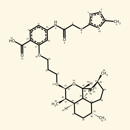 Cc1nnc(SCC(=O)Nc2ccc(C(=O)O)c(OCCCO[C@H]3O[C@@H]4O[C@@]5(C)CCC6[C@H](C)CC[C@@H]([C@H]3C)[C@]64OO5)c2)s1